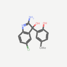 COc1ccc(O)c(C2(O)C(N)=Nc3ccc(Cl)cc32)c1